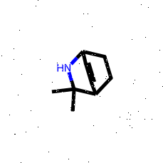 CC1(C)NC2C=CC1CC2